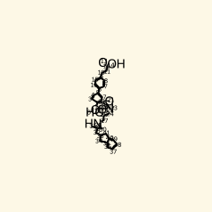 COc1ccc(-c2ccc(CCC(=O)O)cc2)cc1S(=O)(=O)N(C)CC(O)CNC(C)(C)CC1Cc2ccccc2C1